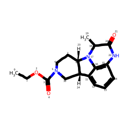 CCOC(=O)N1CC[C@H]2[C@@H](C1)c1cccc3c1N2C(C)C(=O)N3